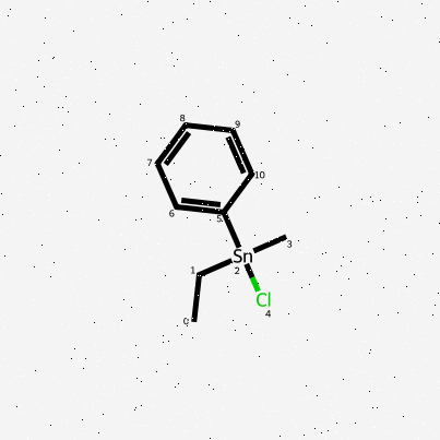 C[CH2][Sn]([CH3])([Cl])[c]1ccccc1